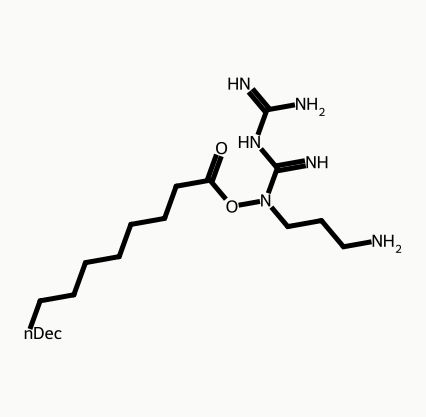 CCCCCCCCCCCCCCCCCC(=O)ON(CCCN)C(=N)NC(=N)N